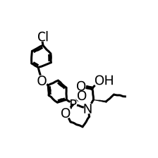 CCC[C@H](C(=O)O)N1CCCOP1(=O)c1ccc(Oc2ccc(Cl)cc2)cc1